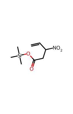 C=CC(CC(=O)O[Si](C)(C)C)[N+](=O)[O-]